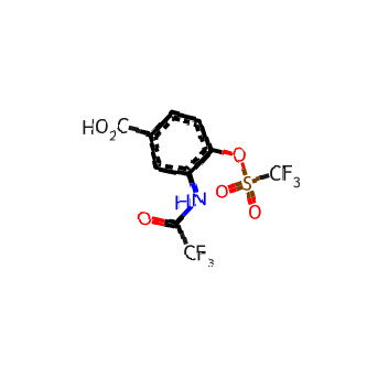 O=C(O)c1ccc(OS(=O)(=O)C(F)(F)F)c(NC(=O)C(F)(F)F)c1